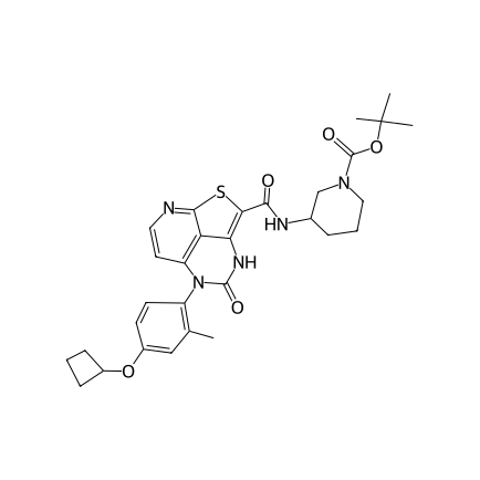 Cc1cc(OC2CCC2)ccc1N1C(=O)Nc2c(C(=O)NC3CCCN(C(=O)OC(C)(C)C)C3)sc3nccc1c23